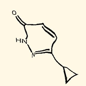 O=c1ccc(C2CC2)n[nH]1